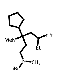 CCCC(CC)CC(CCN(C)C(C)CC)(NC)C1CCCC1